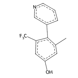 Cc1cc(O)cc(C(F)(F)F)c1-c1cccnc1